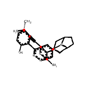 C[C@@H](N)C#Cc1cc(N2C3CCC2CN(c2cc(-c4ccccc4O)nnc2N)C3)ccn1